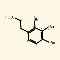 CC(C)(C)c1ccc(CCC(=O)O)c(C(C)(C)C)c1C(C)(C)C